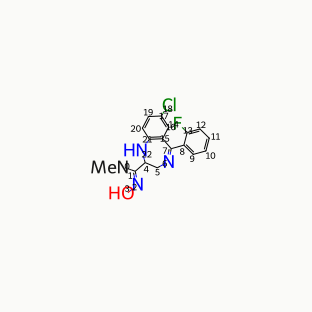 CNC(=NO)C1CN=C(c2ccccc2F)c2cc(Cl)ccc2N1